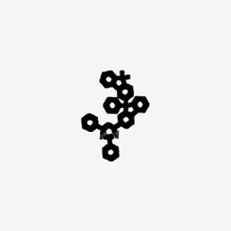 CC1(C)c2ccccc2-c2cc(C3(c4ccccc4)c4ccccc4-c4ccc(-c5cc(-c6ccccc6)nc(-c6ccccc6)n5)cc43)ccc21